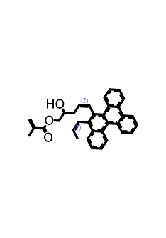 C=C(C)C(=O)OCC(O)C/C=C\c1c(/C=C\C)c2ccccc2c2c3ccccc3c3ccccc3c12